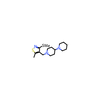 CSc1nsc(C)c1CN1CCC(N2CC[CH]CC2)CC1